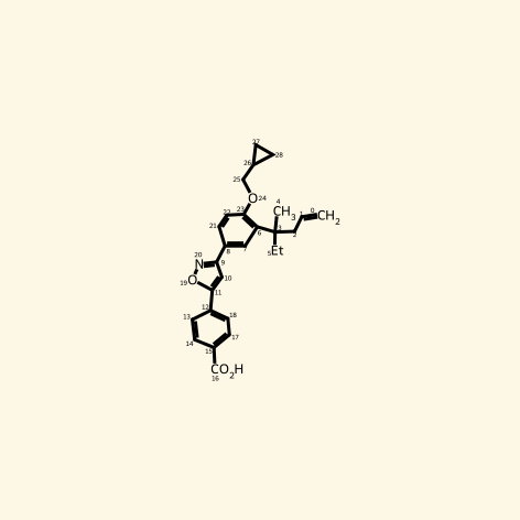 C=CCC(C)(CC)c1cc(-c2cc(-c3ccc(C(=O)O)cc3)on2)ccc1OCC1CC1